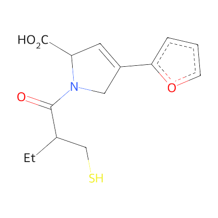 CCC(CS)C(=O)N1CC(c2ccco2)=CC1C(=O)O